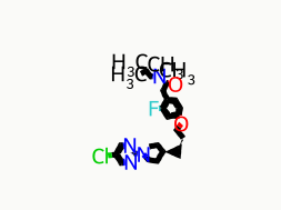 CN(CC(C)(C)C)C(=O)Cc1ccc(OCC[C@@H]2C[C@@H]2C2CCN(c3ncc(Cl)cn3)CC2)cc1F